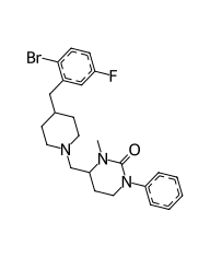 CN1C(=O)N(c2ccccc2)CCC1CN1CCC(Cc2cc(F)ccc2Br)CC1